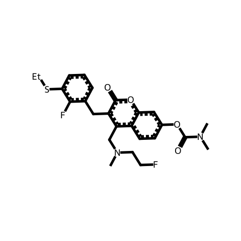 CCSc1cccc(Cc2c(CN(C)CCF)c3ccc(OC(=O)N(C)C)cc3oc2=O)c1F